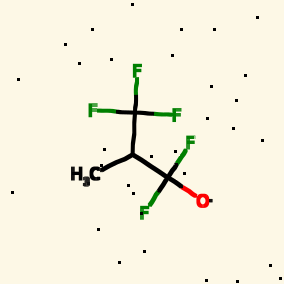 CC(C([O])(F)F)C(F)(F)F